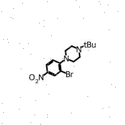 CC(C)(C)N1CCN(c2ccc([N+](=O)[O-])cc2Br)CC1